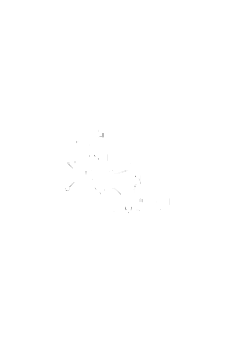 COc1c(Nc2c(N[C@@H](C)C(C)C)c(=O)c2=O)ccnc1C(=O)O